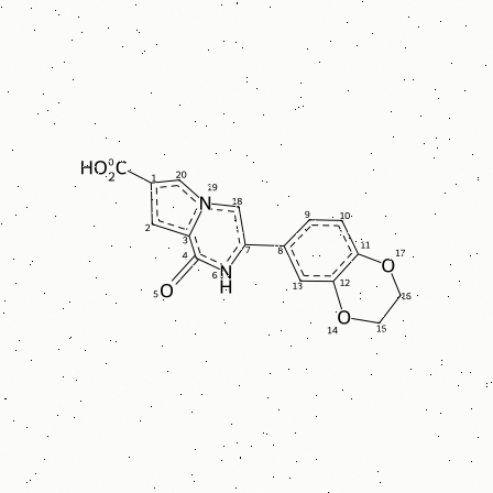 O=C(O)c1cc2c(=O)[nH]c(-c3ccc4c(c3)OCCO4)cn2c1